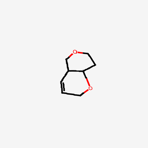 C1=CC2COCC[C]2OC1